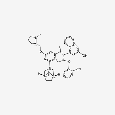 CN1CCC[C@H]1COc1nc(N2C[C@H]3CC[C@@H](C2)N3)c2cc(Oc3ccccc3C#N)c(-c3cc(O)cc4ccccc34)c(F)c2n1